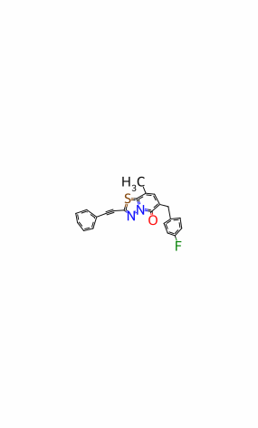 Cc1cc(Cc2ccc(F)cc2)c(=O)n2nc(C#Cc3ccccc3)sc12